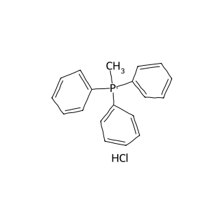 C[P](c1ccccc1)(c1ccccc1)c1ccccc1.Cl